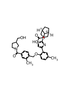 Cc1ccc(OCc2ccc(C(=O)N3CCC(CO)C3)cc2C)c(-c2csc(N3C[C@H]4CC[C@@H](C3)C4CC(=O)O)n2)c1